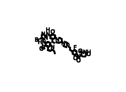 CCc1ccc2c(P(C)(C)=O)c(Nc3nc(Nc4cc(CC)c(N5CCC(N6CCN(CCc7cc8oc(=O)n(C9CCC(=O)NC9=O)c8cc7F)CC6)CC5)cc4OC)ncc3Br)ccc2n1